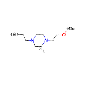 C[C@@H]1CN(CCC(C)(C)C)CCN1CCOC(C)(C)C